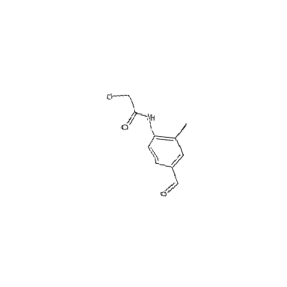 Cc1cc(C=O)ccc1NC(=O)CCl